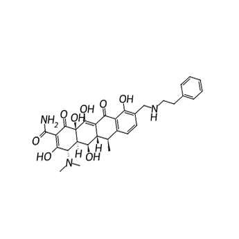 C[C@@H]1c2ccc(CNCCc3ccccc3)c(O)c2C(=O)C2=C(O)[C@@]3(O)C(=O)C(C(N)=O)=C(O)[C@@H](N(C)C)[C@@H]3[C@H](O)[C@H]21